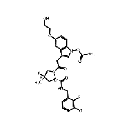 C[C@@]1(F)C[C@@H](C(=O)NCc2cccc(Cl)c2F)N(C(=O)Cc2cn(OC(N)=O)c3ccc(OCCO)cc23)C1